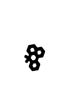 CC1(C)c2ccccc2-c2cccc3cccc1c23